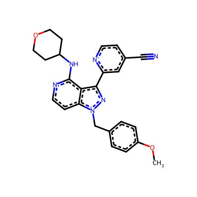 COc1ccc(Cn2nc(-c3cc(C#N)ccn3)c3c(NC4CCOCC4)nccc32)cc1